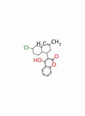 C=C(C)CC(c1c(O)c2ccccc2oc1=O)C1CCC(Cl)CC1